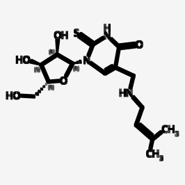 CC(C)=CCNCc1cn([C@@H]2O[C@H](CO)[C@@H](O)[C@H]2O)c(=S)[nH]c1=O